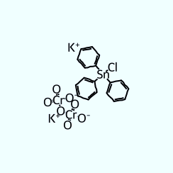 [Cl][Sn]([c]1ccccc1)([c]1ccccc1)[c]1ccccc1.[K+].[K+].[O]=[Cr](=[O])([O-])[O][Cr](=[O])(=[O])[O-]